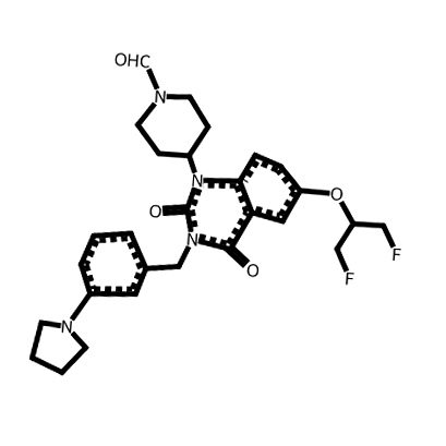 O=CN1CCC(n2c(=O)n(Cc3cccc(N4CCCC4)c3)c(=O)c3cc(OC(CF)CF)ccc32)CC1